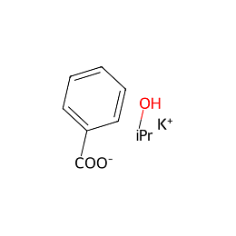 CC(C)O.O=C([O-])c1ccccc1.[K+]